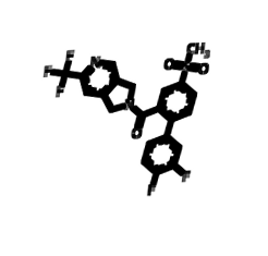 CS(=O)(=O)c1ccc(-c2ccc(F)c(F)c2)c(C(=O)N2Cc3cnc(C(F)(F)F)cc3C2)c1